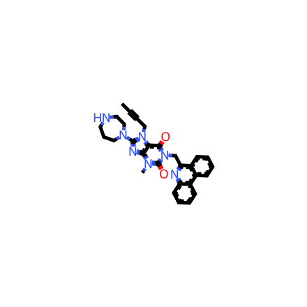 CC#CCn1c(N2CCCNCC2)nc2c1c(=O)n(Cc1nc3ccccc3c3ccccc13)c(=O)n2C